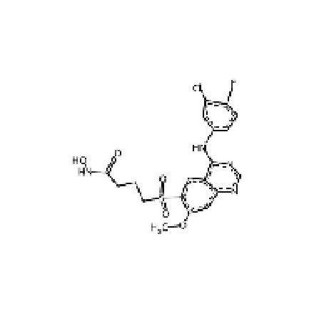 COc1cc2ncnc(Nc3ccc(F)c(Cl)c3)c2cc1S(=O)(=O)CCCC(=O)NO